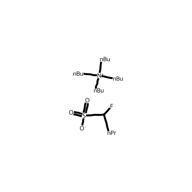 CCCC(F)S(=O)(=O)[O-].CCCC[N+](CCCC)(CCCC)CCCC